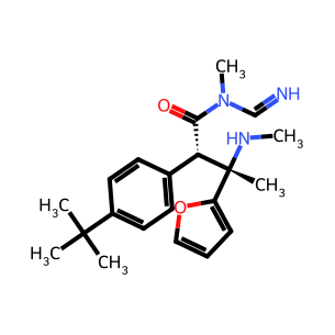 CN[C@](C)(c1ccco1)[C@@H](C(=O)N(C)C=N)c1ccc(C(C)(C)C)cc1